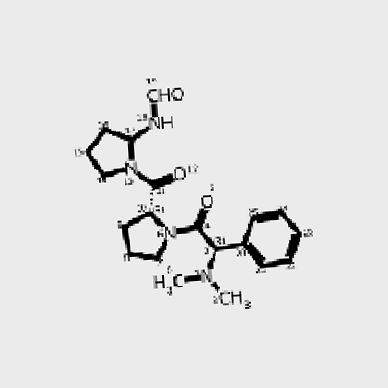 CN(C)[C@@H](C(=O)N1CCC[C@@H]1C(=O)N1CCCC1NC=O)c1ccccc1